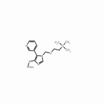 CCCCCCSc1ncn(COCC[Si](C)(C)C)c1-c1cccnc1